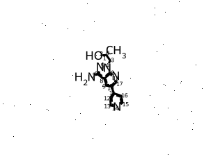 CC(O)Cn1nc(N)c2cc(-c3ccncc3)cnc21